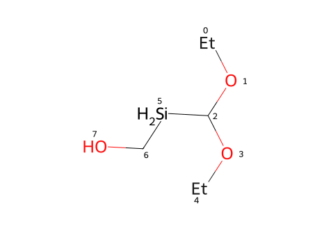 CCOC(OCC)[SiH2]CO